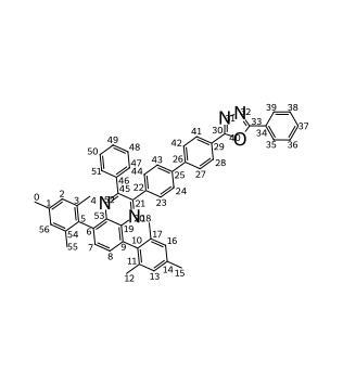 Cc1cc(C)c(-c2ccc(-c3c(C)cc(C)cc3C)c3nc(-c4ccc(-c5ccc(-c6nnc(-c7ccccc7)o6)cc5)cc4)c(-c4ccccc4)nc23)c(C)c1